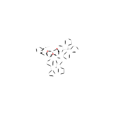 CC1(C)c2ccccc2-c2ccc(N(c3ccc4c(c3)C3(c5ccccc5-c5ccccc53)c3ccccc3-4)c3ccc4c(c3)C3(c5ccccc5-c5ccc(N(c6ccccc6)c6ccccc6)cc53)c3ccccc3-4)cc21